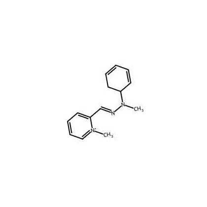 CN(N=Cc1cccc[n+]1C)C1C=CC=CC1